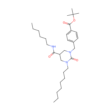 CCCCCCCCN1CC(C(=O)NCCCCCC)CN(Cc2ccc(C(=O)OC(C)(C)C)cc2)C1=O